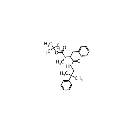 CN(C(=O)OC(C)(C)C)C(Cc1ccccc1)C(=O)NCC(C)(C)c1ccccc1